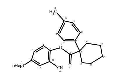 CCCCCCCc1ccc(OC(=O)C2(c3ccc(C)cc3)CCCCC2)c(C#N)c1